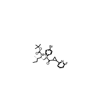 CC[C@H](C)[C@@H](CN(C(=O)C1CC1c1cccc(F)n1)c1ccc(Br)cc1)NC(=O)OC(C)(C)C